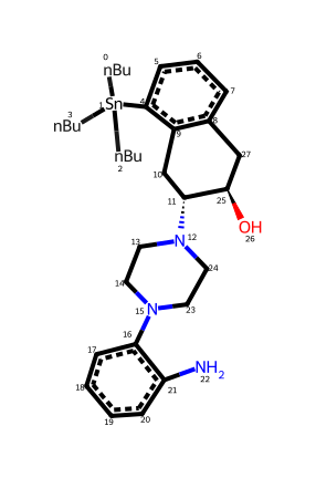 CCC[CH2][Sn]([CH2]CCC)([CH2]CCC)[c]1cccc2c1C[C@@H](N1CCN(c3ccccc3N)CC1)[C@H](O)C2